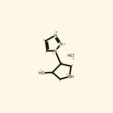 Cl.OC1CNCC1n1ccnn1